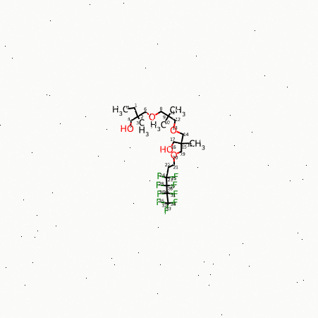 CCC(C)(CO)COCC(C)(C)COCC(C)(CO)COCCC(F)(F)C(F)(F)C(F)(F)C(F)(F)F